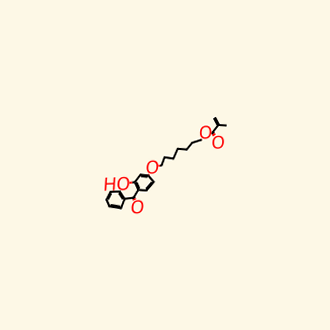 C=C(C)C(=O)OCCCCCCCOc1ccc(C(=O)c2ccccc2)c(O)c1